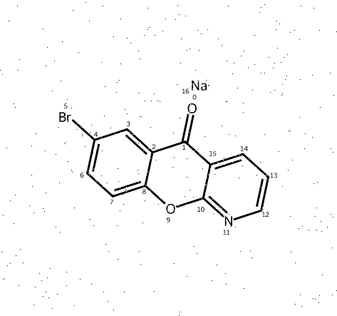 O=c1c2cc(Br)ccc2oc2ncccc12.[Na]